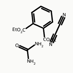 CCOC(=O)c1ccccc1C(=O)OCC.N#CC#N.NC(N)=O